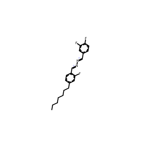 CCCCCCCc1ccc(/C=N/N=C/c2ccc(F)c(F)c2)c(F)c1